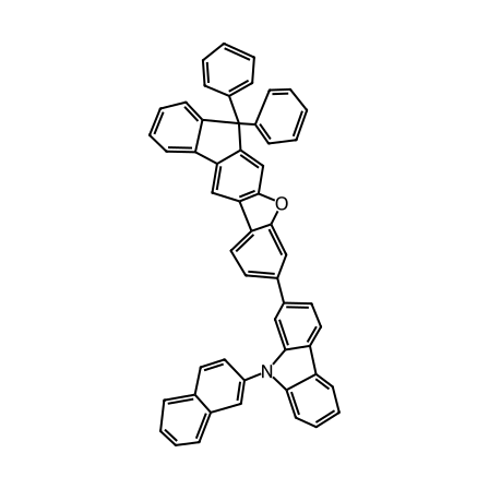 c1ccc(C2(c3ccccc3)c3ccccc3-c3cc4c(cc32)oc2cc(-c3ccc5c6ccccc6n(-c6ccc7ccccc7c6)c5c3)ccc24)cc1